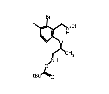 CCNCc1c(OC(C)CNOC(=O)C(C)(C)C)ccc(F)c1Br